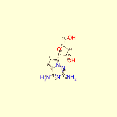 Nc1nc(N)c2ccc([C@@H]3O[C@H](CO)C[C@@H]3O)n2n1